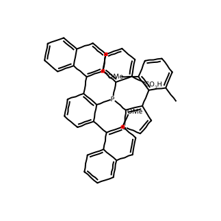 COc1ccc2ccccc2c1-c1cccc(-c2c(OC)ccc3ccccc23)c1P(c1ccccc1C(=O)O)c1sccc1-c1c(C)cccc1C